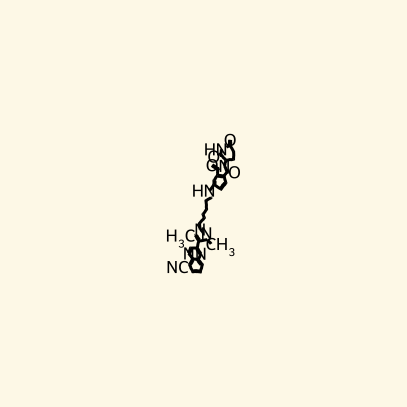 Cc1nn(CCCCCCNc2ccc3c(c2)C(=O)N(C2CCC(=O)NC2=O)C3=O)c(C)c1-c1cnc2c(C#N)cccc2n1